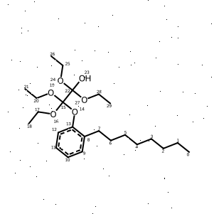 CCCCCCCCc1ccccc1OC(OCC)(OCC)C(O)(OCC)OCC